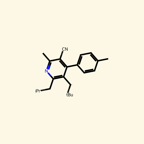 Cc1ccc(-c2c(C#N)c(C)nc(CC(C)C)c2[CH]C(C)(C)C)cc1